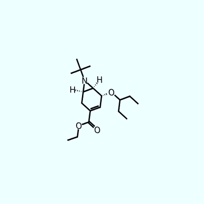 CCOC(=O)C1=C[C@@H](OC(CC)CC)[C@H]2[C@@H](C1)N2C(C)(C)C